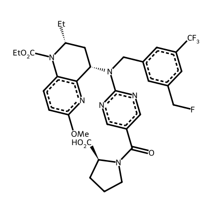 CCOC(=O)N1c2ccc(OC)nc2[C@@H](N(Cc2cc(CF)cc(C(F)(F)F)c2)c2ncc(C(=O)N3CCC[C@H]3C(=O)O)cn2)C[C@H]1CC